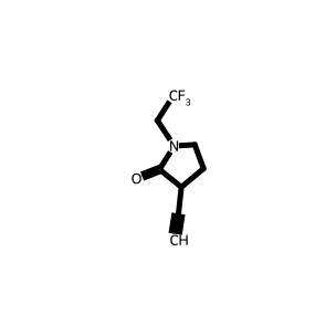 C#CC1CCN(CC(F)(F)F)C1=O